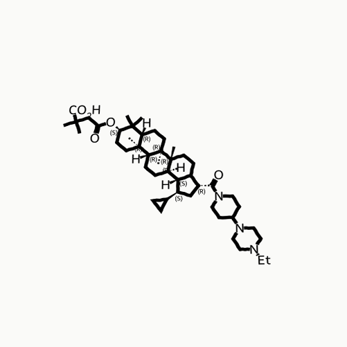 CCN1CCN(C2CCN(C(=O)[C@@H]3C[C@@H](C4CC4)[C@H]4C3CC[C@]3(C)[C@@H]4CC[C@@H]4[C@@]5(C)CC[C@H](OC(=O)CC(C)(C)C(=O)O)C(C)(C)[C@@H]5CC[C@]43C)CC2)CC1